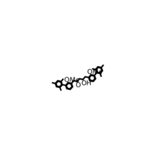 COc1c(CC(=O)CC(O)Cc2cccc(-c3c(C)cc(C)cc3C)c2OC)cccc1-c1c(C)cc(C)cc1C